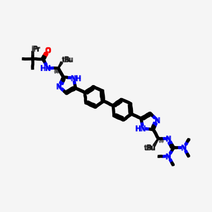 CC(C)C(C)(C)C(=O)N[C@H](c1ncc(-c2ccc(-c3ccc(-c4cnc([C@@H](N=C(N(C)C)N(C)C)C(C)(C)C)[nH]4)cc3)cc2)[nH]1)C(C)(C)C